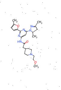 COCCN1CCC(CC(=O)Nc2cc(N3N=C(C)CC3C)nc(-c3ccc(C)o3)n2)CC1